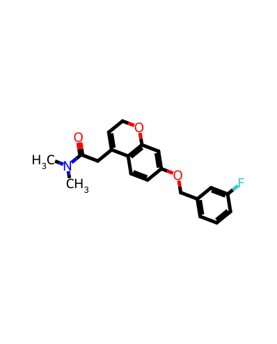 CN(C)C(=O)CC1=CCOc2cc(OCc3cccc(F)c3)ccc21